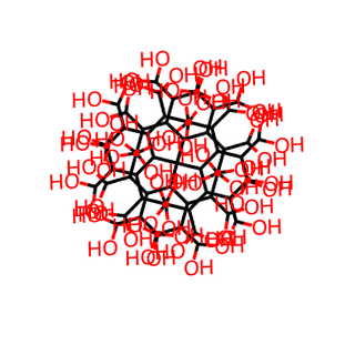 OC(O)C(C(O)O)C(C(C(O)O)C(O)O)C(C(C(C(O)O)C(O)O)C(C(O)O)C(O)O)C(C(C(C(C(O)O)C(O)O)C(C(O)O)C(O)O)C(C(C(O)O)C(O)O)C(C(O)O)C(O)O)(C(C(C(C(O)O)C(O)O)C(C(O)O)C(O)O)C(C(C(O)O)C(O)O)C(C(O)O)C(O)O)C(C(C(C(O)O)C(O)O)C(C(O)O)C(O)O)C(C(C(O)O)C(O)O)C(C(O)O)C(O)O